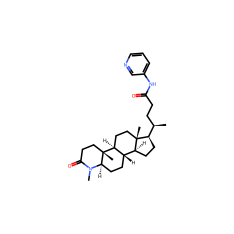 C[C@H](CCC(=O)Nc1cccnc1)[C@H]1CC[C@H]2[C@@H]3CC[C@H]4N(C)C(=O)CC[C@]4(C)[C@H]3CC[C@]12C